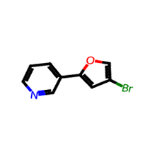 Brc1coc(-c2cccnc2)c1